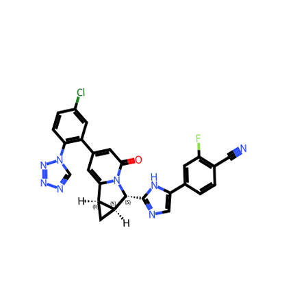 N#Cc1ccc(-c2cnc([C@@H]3[C@H]4C[C@H]4c4cc(-c5cc(Cl)ccc5-n5cnnn5)cc(=O)n43)[nH]2)cc1F